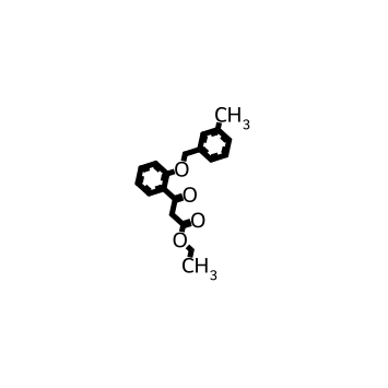 CCOC(=O)CC(=O)c1ccccc1OCc1cccc(C)c1